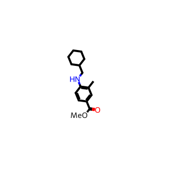 COC(=O)c1ccc(NCC2CCCCC2)c(C)c1